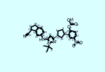 CC(C)(C)n1nc([C@H]2CC[C@@H](c3cc([N+](=O)[O-])ccc3OC(=O)O)C2)cc1Nc1ccc2c(c1)C(C#N)CC2